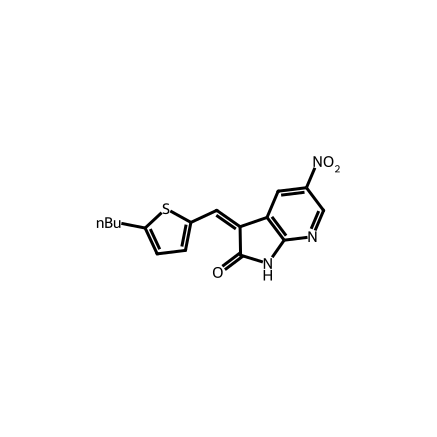 CCCCc1ccc(C=C2C(=O)Nc3ncc([N+](=O)[O-])cc32)s1